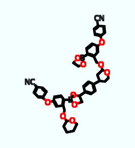 N#Cc1ccc(Oc2ccc(B3OCCO3)c(COC3CC(c4ccc(C5COB(c6ccc(Oc7ccc(C#N)cc7)cc6COC6CCCCO6)O5)cc4)CCO3)c2)cc1